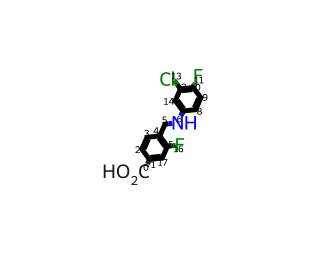 O=C(O)c1ccc(CNc2ccc(F)c(Cl)c2)c(F)c1